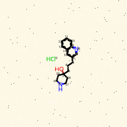 Cl.OC1(CCCc2cnc3ccccc3c2)CCNCC1